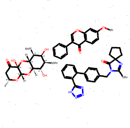 CC(C)Oc1ccc2c(=O)c(-c3ccccc3)coc2c1.CCCCC1=NC2(CCCC2)C(=O)N1Cc1ccc(-c2ccccc2-c2nnn[nH]2)cc1.CN[C@@H]1[C@H](O)[C@H](NC)[C@H]2O[C@@]3(O)C(=O)C[C@@H](C)O[C@H]3O[C@@H]2[C@H]1O